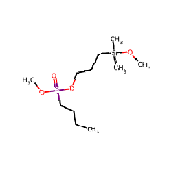 CCCCP(=O)(OC)OCCC[Si](C)(C)OC